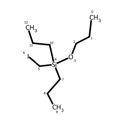 CCCO[Si](CI)(CCC)CCC